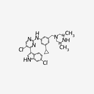 C[C@@H]1CN(Cc2cc(Nc3ncc(Cl)c(-c4c[nH]c5cc(Cl)ccc45)n3)cc(C3CC3)c2)C[C@H](C)N1